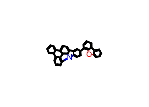 c1ccc2c(c1)oc1c(-c3ccc4c(c3)c3ccc5c6ccccc6c6cccc7c6c5c3n47)cccc12